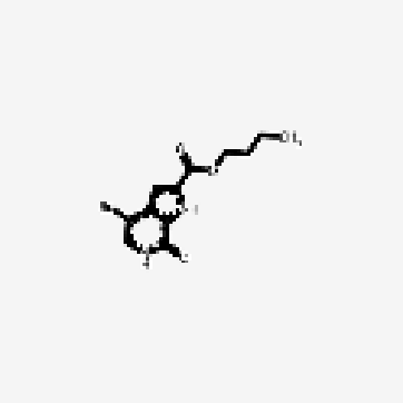 CCCCOC(=O)c1cc2c(Br)c[nH]c(=O)c2[nH]1